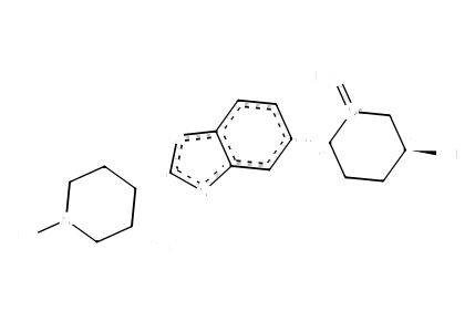 C=[N+]1C[C@@H](C)CC[C@@H]1c1ccc2sc([C@H]3CCN(C)C[C@H]3C)nc2c1